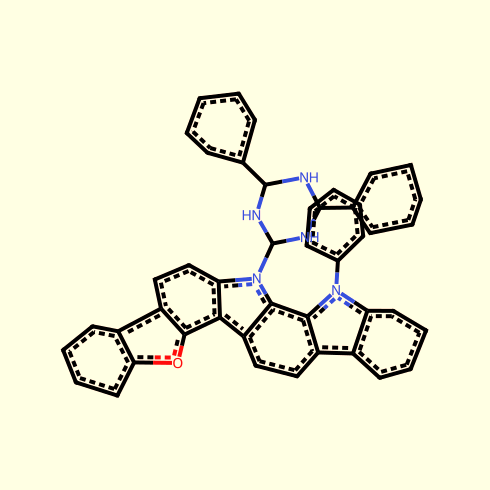 c1ccc(C2NC(c3ccccc3)NC(n3c4ccc5c6ccccc6oc5c4c4ccc5c6ccccc6n(-c6ccccc6)c5c43)N2)cc1